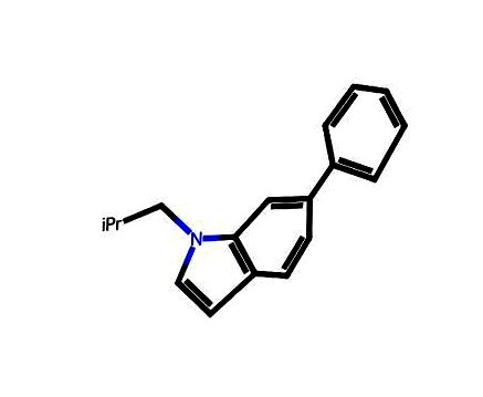 CC(C)Cn1ccc2ccc(-c3ccccc3)cc21